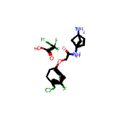 NC12CCC(NC(=O)COc3ccc(Cl)c(F)c3)(C1)C2.O=C(O)C(F)(F)F